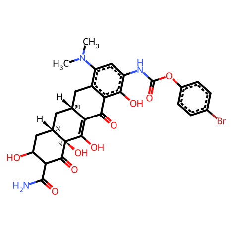 CN(C)c1cc(NC(=O)Oc2ccc(Br)cc2)c(O)c2c1C[C@H]1C[C@H]3CC(O)C(C(N)=O)C(=O)[C@@]3(O)C(O)=C1C2=O